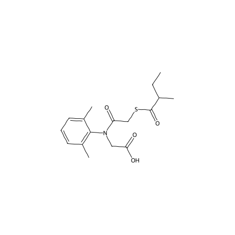 CCC(C)C(=O)SCC(=O)N(CC(=O)O)c1c(C)cccc1C